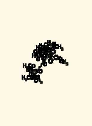 COc1ccc(C(OC[C@]2(COP(OCCC#N)N(C(C)C)C(C)C)CN(C(=O)CCCC(=O)N3C[C@H](NC(C)=O)[C@@H](OC(C)=O)[C@@H](OC(C)=O)C3)C[C@H](n3cc(C)c(=O)[nH]c3=O)O2)(c2ccccc2)c2ccc(OC)cc2)cc1